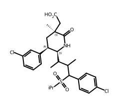 CC(C(C)[C@@H]1NC(=O)[C@](C)(CC(=O)O)C[C@@H]1c1cccc(Cl)c1)C(c1ccc(Cl)cc1)S(=O)(=O)C(C)C